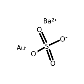 O=S(=O)([O-])[O-].[Au].[Ba+2]